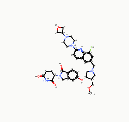 COC[C@@H]1CN(Cc2cc(F)c3nc(N4CCN(C5COC5)CC4)ccc3c2)C[C@H]1Oc1ccc2c(c1)CN([C@H]1CCC(=O)NC1=O)C2=O